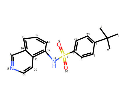 CC(C)(C)c1ccc(S(=O)(=O)Nc2cccc3cnccc23)cc1